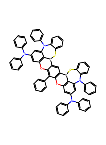 c1ccc(-c2c3c(cc4c2Oc2cc(N(c5ccccc5)c5ccccc5)cc5c2B4Sc2ccccc2N5c2ccccc2)B2Sc4ccccc4N(c4ccccc4)c4cc(N(c5ccccc5)c5ccccc5)cc(c42)O3)cc1